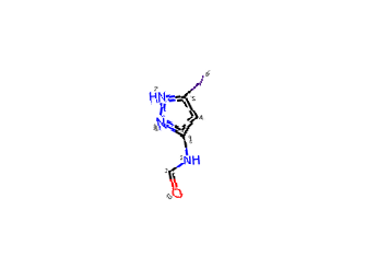 O=CNc1cc(I)[nH]n1